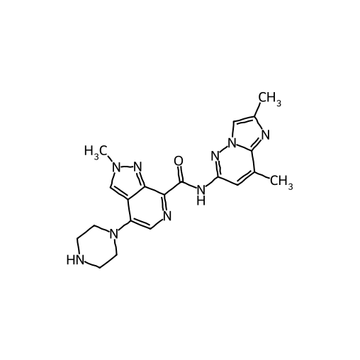 Cc1cn2nc(NC(=O)c3ncc(N4CCNCC4)c4cn(C)nc34)cc(C)c2n1